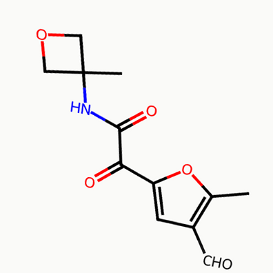 Cc1oc(C(=O)C(=O)NC2(C)COC2)cc1C=O